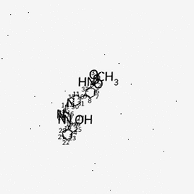 CS(=O)(=O)Nc1cccc(C2CCN(Cc3cn([C@@H]4c5ccccc5C[C@H]4O)nn3)CC2)c1